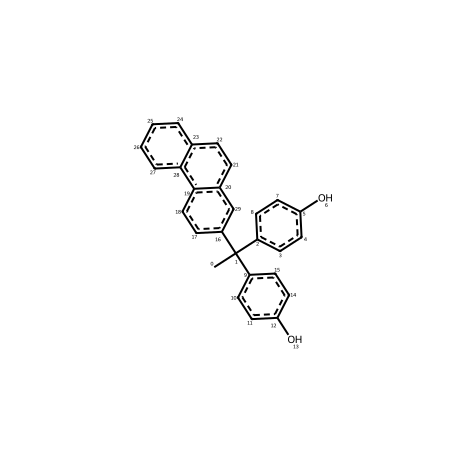 CC(c1ccc(O)cc1)(c1ccc(O)cc1)c1ccc2c(ccc3ccccc32)c1